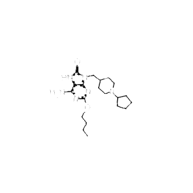 CCCCOc1nc(N)c2[nH]c(=O)n(CC3CCN(C4CCCC4)CC3)c2n1